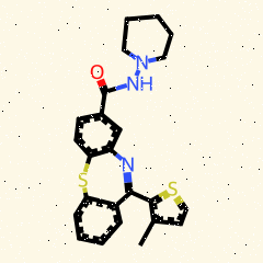 Cc1ccsc1C1=Nc2cc(C(=O)NN3CCCCC3)ccc2Sc2ccccc21